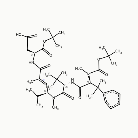 C/C(=C\[C@H](C(C)C)N(C)C(=O)[C@@H](NC(=O)[C@@H](N(C)C(=O)OC(C)(C)C)C(C)(C)c1ccccc1)C(C)(C)C)C(=O)N[C@@H](CC(=O)O)C(=O)OC(C)(C)C